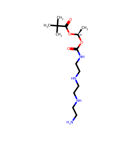 C[C@@H](OC(=O)NCCNCCNCCN)OC(=O)C(C)(C)C